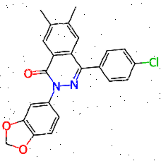 Cc1cc2c(-c3ccc(Cl)cc3)nn(-c3ccc4c(c3)OCO4)c(=O)c2cc1C